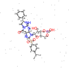 CC(C)c1ccc(S(=O)(=O)c2nc3c(=O)n4cc(-c5ccccc5)[nH]c4nc3n2C2OC3COP(O)OC3C2O)cc1